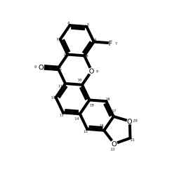 O=c1c2cccc(F)c2oc2c1ccc1cc3c(cc12)OCO3